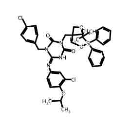 CC(C)Oc1ccc(/N=c2\[nH]c(=O)n(CC3(CO[Si](c4ccccc4)(c4ccccc4)C(C)(C)C)COC3)c(=O)n2Cc2ccc(Cl)cc2)cc1Cl